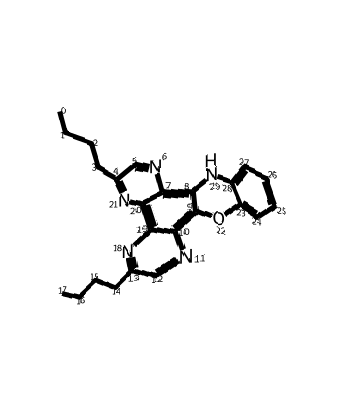 CCCCc1cnc2c3c(c4ncc(CCCC)nc4c2n1)Oc1ccccc1N3